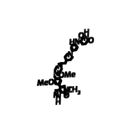 COc1cc(-c2cn(C)c(=O)c3[nH]ncc23)cc(OC)c1CN1CCN(CCC2CCN(c3ccc(NC4CCC(=O)NC4=O)cc3)CC2)CC1